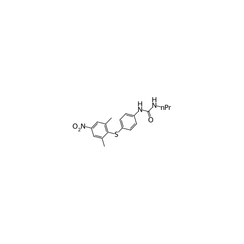 CCCNC(=O)Nc1ccc(Sc2c(C)cc([N+](=O)[O-])cc2C)cc1